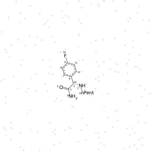 CCCCCN[C@H](C(N)=O)c1ccc(F)cc1